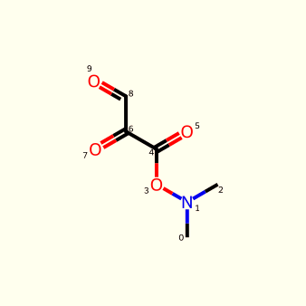 CN(C)OC(=O)C(=O)C=O